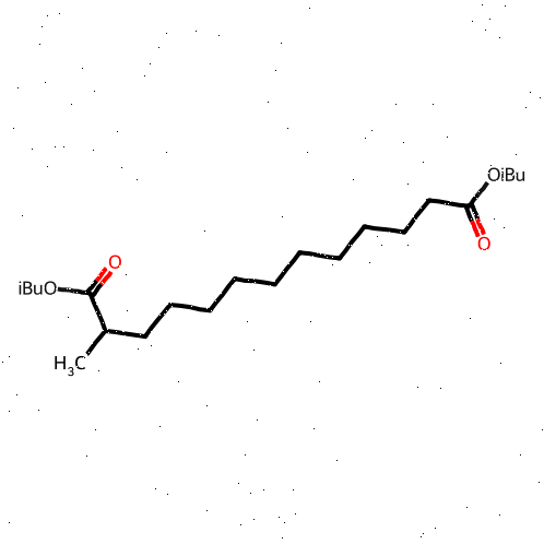 CC(C)COC(=O)CCCCCCCCCCC(C)C(=O)OCC(C)C